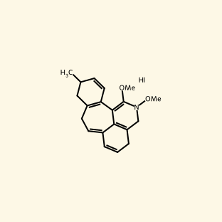 COC1=C2C3=C(CC=C4C=CCC(=C42)CN1OC)CC(C)C=C3.I